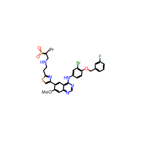 COc1cc2ncnc(Nc3ccc(OCc4cccc(F)c4)c(Br)c3)c2cc1-c1csc(CCNCC(C(C)C)=S(=O)=O)n1